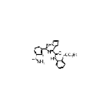 CCOC(=O)Cc1ccccc1NC(=O)c1nc(-c2cccc(C(C)N)c2F)nn2cccc12